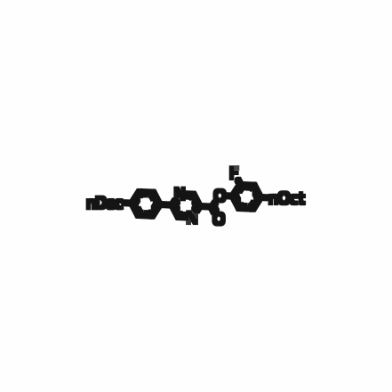 CCCCCCCCCCc1ccc(-c2cnc(C(=O)Oc3ccc(CCCCCCCC)cc3F)cn2)cc1